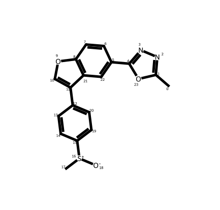 Cc1nnc(-c2ccc3occ(-c4ccc([S+](C)[O-])cc4)c3c2)o1